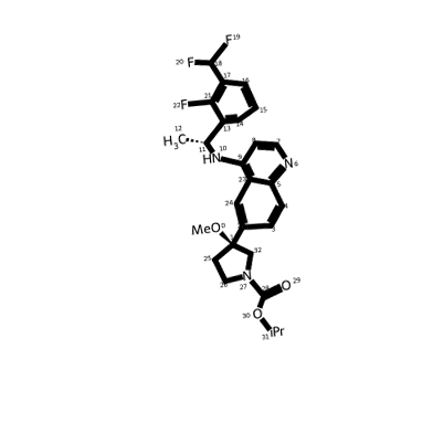 CO[C@]1(c2ccc3nccc(N[C@H](C)c4cccc(C(F)F)c4F)c3c2)CCN(C(=O)OC(C)C)C1